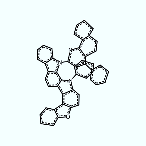 c1ccc(-c2nc(-n3c4ccccc4c4ccc5c6c7c(ccc6n(-c6ccccc6)c5c43)oc3ccccc37)nc3c2ccc2ccccc23)cc1